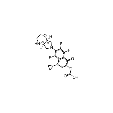 O=C(O)Oc1cn(C2CC2)c2c(F)c(N3C[C@@H]4OCCN[C@@H]4C3)c(F)c(F)c2c1=O